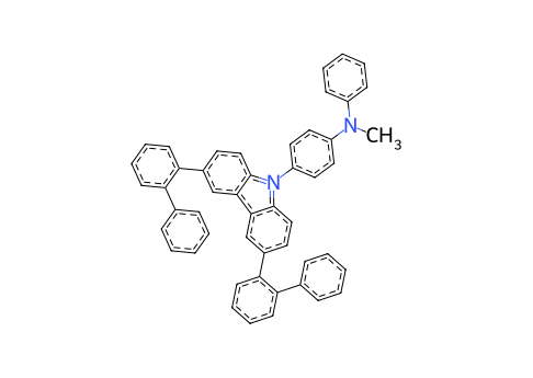 CN(c1ccccc1)c1ccc(-n2c3ccc(-c4ccccc4-c4ccccc4)cc3c3cc(-c4ccccc4-c4ccccc4)ccc32)cc1